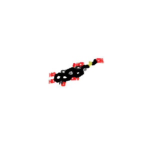 C[C@]12C[C@H](O)[C@H](O)C[C@H]1C(=O)C=C1C2CC[C@]2(C)[C@@H](C(O)CSCCO)CC[C@@]12O